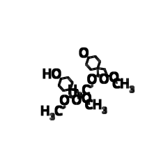 CCOC(=O)C1(CCOC)CCC(=O)CC1.CCOC(=O)[C@]1(CCOC)CC[C@@H](O)CC1